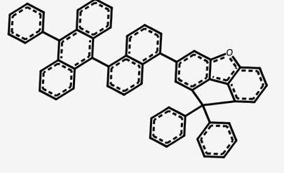 c1ccc(-c2c3ccccc3c(-c3cccc4c(-c5cc6c7c(c5)oc5cccc(c57)C6(c5ccccc5)c5ccccc5)cccc34)c3ccccc23)cc1